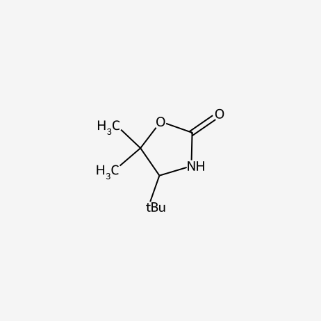 CC(C)(C)C1NC(=O)OC1(C)C